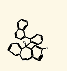 OC1(c2ccccc2-c2cccc3ccccc23)c2ccccc2C=Cc2ccc(Br)cc21